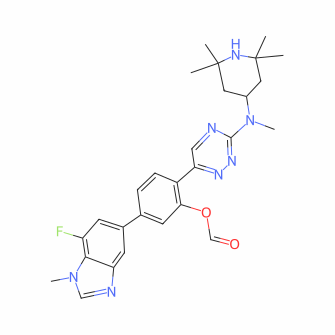 CN(c1ncc(-c2ccc(-c3cc(F)c4c(c3)ncn4C)cc2OC=O)nn1)C1CC(C)(C)NC(C)(C)C1